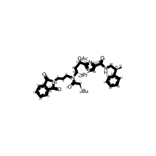 CC[C@H](C)CC(=O)N(CCCN1C(=O)c2ccccc2C1=O)[C@H](C[C@@H](OC(C)=O)c1nc(C(=O)NC[C@@H](C)c2ccccc2)cs1)C(C)C